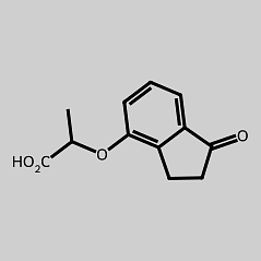 CC(Oc1cccc2c1CCC2=O)C(=O)O